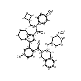 Cl.O=C(c1cc(-c2cc(Cl)ccc2C(=O)N2Cc3ccccc3C[C@H]2CN2CCOCC2)n2c1CCCC2)N(CC1CCC1)c1ccc(O)cc1